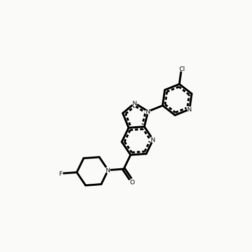 O=C(c1cnc2c(cnn2-c2cncc(Cl)c2)c1)N1CCC(F)CC1